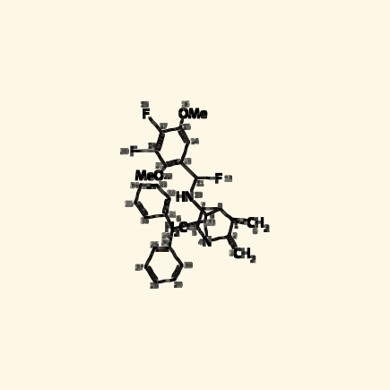 C=C1C(=C)N2C(=C)CC1C(NC(F)c1cc(OC)c(F)c(F)c1OC)C2C(c1ccccc1)c1ccccc1